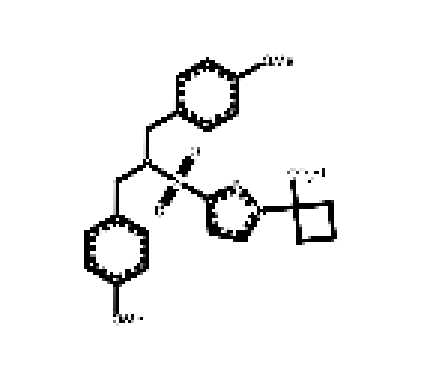 CCOC(=O)C1(n2ccc(S(=O)(=O)N(Cc3ccc(OC)cc3)Cc3ccc(OC)cc3)n2)CCC1